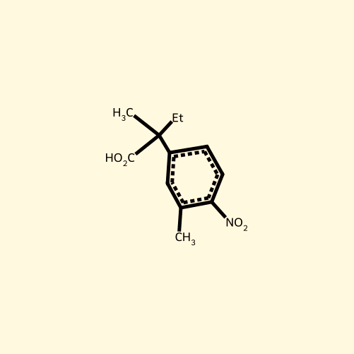 CCC(C)(C(=O)O)c1ccc([N+](=O)[O-])c(C)c1